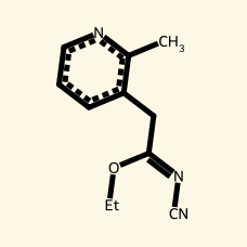 CCOC(Cc1cccnc1C)=NC#N